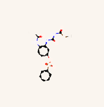 CSC(=O)NC(=O)Nc1cc(OS(=O)(=O)c2ccccc2)ccc1NC(C)=O